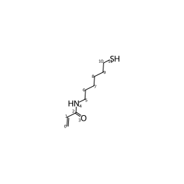 C=CC(=O)NCCCCCCS